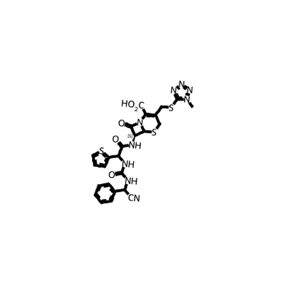 Cn1nnnc1SCC1=C(C(=O)O)N2C(=O)[C@H](NC(=O)C(NC(=O)NC(C#N)c3ccccc3)c3cccs3)C2SC1